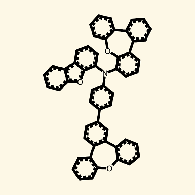 c1ccc2c(c1)Oc1ccccc1-c1cc(-c3ccc(N(c4cccc5c4Oc4ccccc4-c4ccccc4-5)c4cccc5c4oc4ccccc45)cc3)ccc1-2